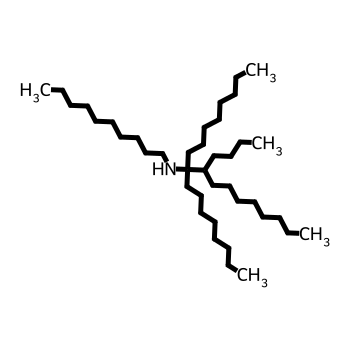 CCCCCCCCCCNC(CCCCCCCC)(CCCCCCCC)C(CCCC)CCCCCCCC